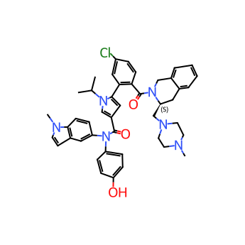 CC(C)n1cc(C(=O)N(c2ccc(O)cc2)c2ccc3c(ccn3C)c2)cc1-c1cc(Cl)ccc1C(=O)N1Cc2ccccc2C[C@H]1CN1CCN(C)CC1